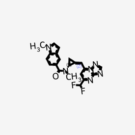 CN(C(=O)c1ccc2c(ccn2C)c1)[C@H]1C/C1=C/c1cc(C(F)F)nc2ncnn12